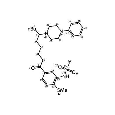 CCCCC(CCCCC(=O)c1ccc(SC)c(NS(C)(=O)=O)c1)N1CCN(c2ccccc2)CC1